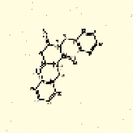 O=C1CC(=O)N(Cc2ccccc2)C(=O)N1Cc1ccccc1